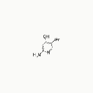 CC(C)c1cnc(N)cc1O